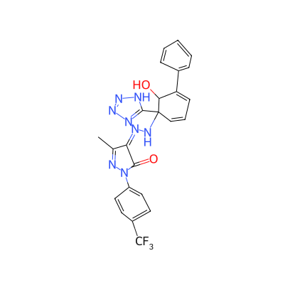 CC1=NN(c2ccc(C(F)(F)F)cc2)C(=O)C1=NNC1(c2nnn[nH]2)C=CC=C(c2ccccc2)C1O